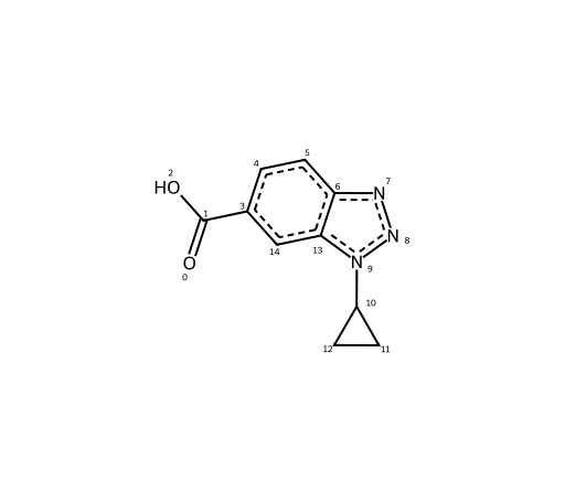 O=C(O)c1ccc2nnn(C3CC3)c2c1